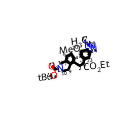 CCOC(=O)C(Cc1cccc2c1CCN(C(=O)OC(C)(C)C)C2)c1cc(OC)c2c(c1)nnn2C